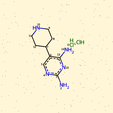 Cl.Cl.Nc1ncc(C2CCNCC2)c(N)n1